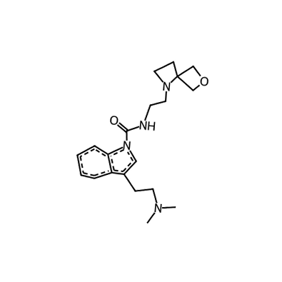 CN(C)CCc1cn(C(=O)NCCN2CCC23COC3)c2ccccc12